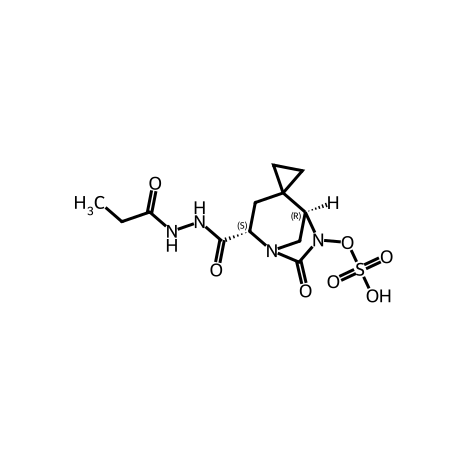 CCC(=O)NNC(=O)[C@@H]1CC2(CC2)[C@@H]2CN1C(=O)N2OS(=O)(=O)O